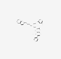 CC(=O)[C@H](CCN(CCCCC1C=CC2=C(NCCC2)N1)CCOC1=CC(F)=CNC1)NC1C=NC=C(c2ccncc2)N1O